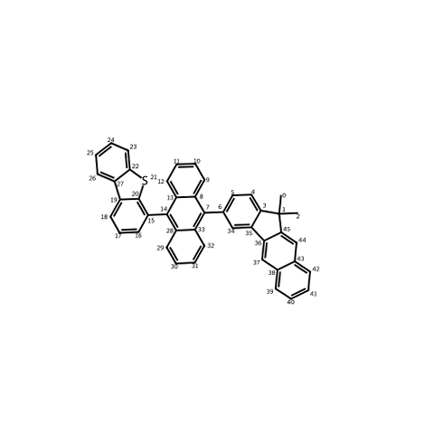 CC1(C)c2ccc(-c3c4ccccc4c(-c4cccc5c4sc4ccccc45)c4ccccc34)cc2-c2cc3ccccc3cc21